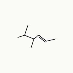 [CH2]C(C)C(C)C=CC